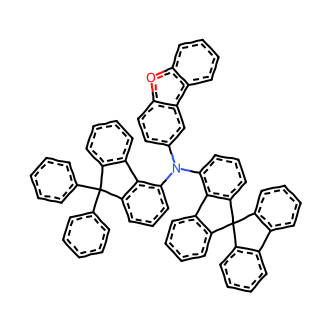 c1ccc(C2(c3ccccc3)c3ccccc3-c3c(N(c4ccc5oc6ccccc6c5c4)c4cccc5c4-c4ccccc4C54c5ccccc5-c5ccccc54)cccc32)cc1